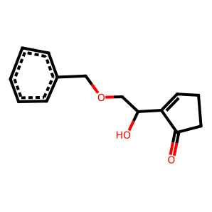 O=C1CCC=C1C(O)COCc1ccccc1